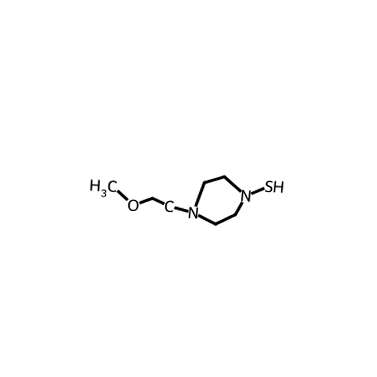 COCCN1CCN(S)CC1